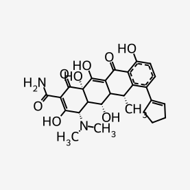 C[C@H]1c2c(C3=CCCC3)ccc(O)c2C(=O)C2=C(O)[C@]3(O)C(=O)C(C(N)=O)=C(O)[C@@H](N(C)C)C3[C@@H](O)C21